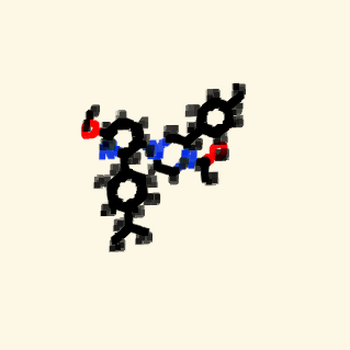 COc1ccc(N2CCN(C(C)=O)C(c3ccc(C)cc3)C2)c(-c2ccc(C(C)C)cc2)n1